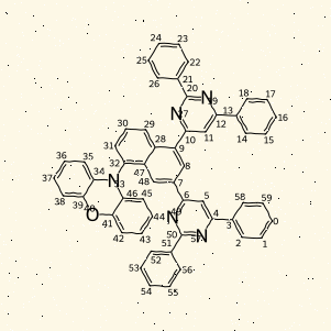 c1ccc(-c2cc(-c3cc(-c4cc(-c5ccccc5)nc(-c5ccccc5)n4)c4cccc(N5c6ccccc6Oc6ccccc65)c4c3)nc(-c3ccccc3)n2)cc1